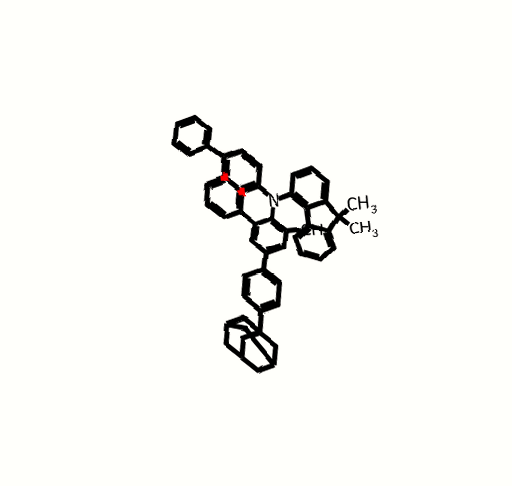 Cc1cc(-c2ccc(C34CC5CC(CC(C5)C3)C4)cc2)cc(-c2ccccc2)c1N(c1ccc(-c2ccccc2)cc1)c1cccc2c1-c1ccccc1C2(C)C